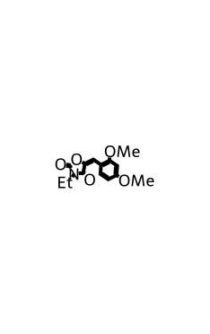 CCN1C(=O)O/C(=C/c2ccc(OC)cc2OC)C1=O